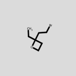 CCC1(CCBr)CCO1